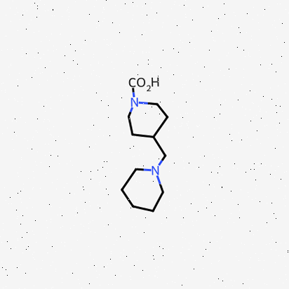 O=C(O)N1CCC(CN2CCCCC2)CC1